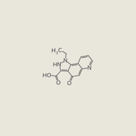 CCn1[nH]c(C(=O)O)c2c(=O)cc3ncccc3c1-2